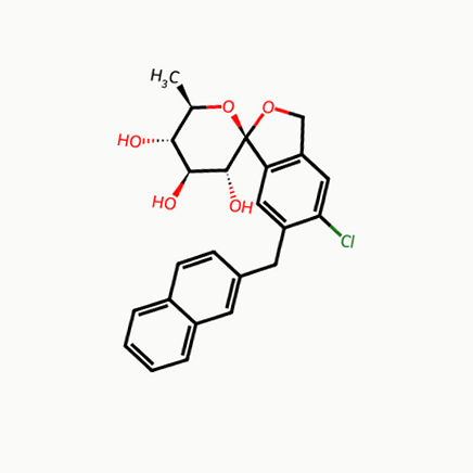 C[C@H]1O[C@]2(OCc3cc(Cl)c(Cc4ccc5ccccc5c4)cc32)[C@H](O)[C@@H](O)[C@@H]1O